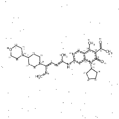 C=N/C(=C\N=C(/C)Nc1cc2c(cn1)c(C)c(C(C)=O)c(=O)n2C1CCCC1)N1CCC(N2CCOCC2)CC1